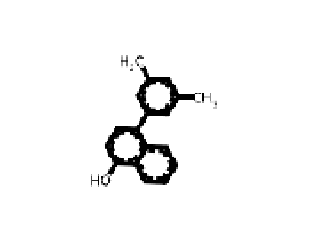 Cc1cc(C)cc(-c2ccc(O)c3ccccc23)c1